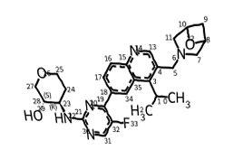 CC(C)c1c(CN2CC3CC(C2)O3)cnc2ccc(-c3nc(N[C@@H]4CCOC[C@H]4O)ncc3F)cc12